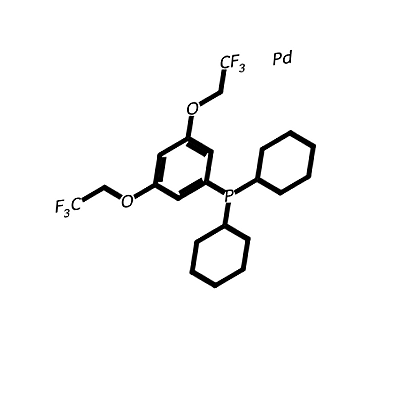 FC(F)(F)COc1cc(OCC(F)(F)F)cc(P(C2CCCCC2)C2CCCCC2)c1.[Pd]